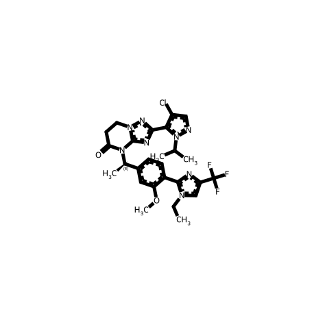 CCn1cc(C(F)(F)F)nc1-c1ccc([C@@H](C)N2C(=O)CCn3nc(-c4c(Cl)cnn4C(C)C)nc32)cc1OC